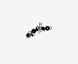 CC(Cn1cnnn1)Oc1cc(-c2cnc(Nc3cn(C4CCC(=O)CC4)nc3C(F)(F)F)nc2)ccc1Cl